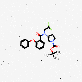 CC(C)(C)OC(=O)N1CC[C@H](N(CC(F)F)C(=O)c2ccccc2Oc2ccccc2)C1